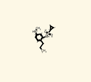 CCCc1ccc(NC)cc1NS(=O)(=O)C1CC1